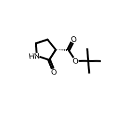 CC(C)(C)OC(=O)[C@H]1CCNC1=O